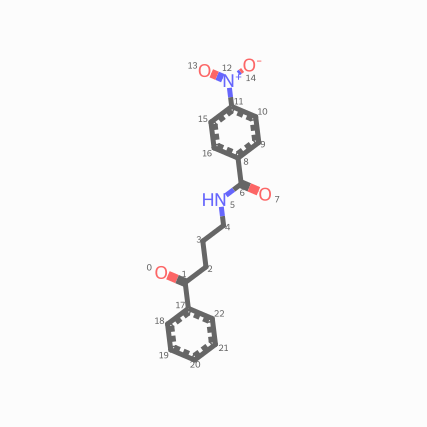 O=C(CCCNC(=O)c1ccc([N+](=O)[O-])cc1)c1ccccc1